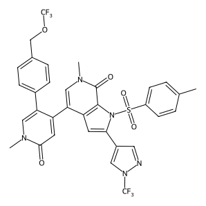 Cc1ccc(S(=O)(=O)n2c(-c3cnn(C(F)(F)F)c3)cc3c(-c4cc(=O)n(C)cc4-c4ccc(COC(F)(F)F)cc4)cn(C)c(=O)c32)cc1